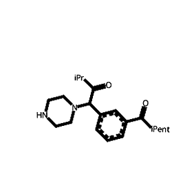 CCCC(C)C(=O)c1cccc(C(C(=O)C(C)C)N2CCNCC2)c1